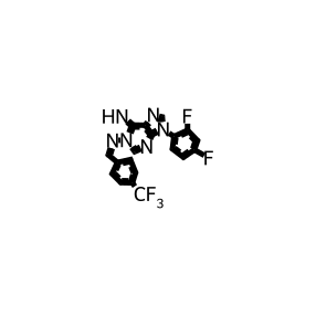 N=c1c2ncn(-c3ccc(F)cc3F)c2ncn1/N=C\c1ccc(C(F)(F)F)cc1